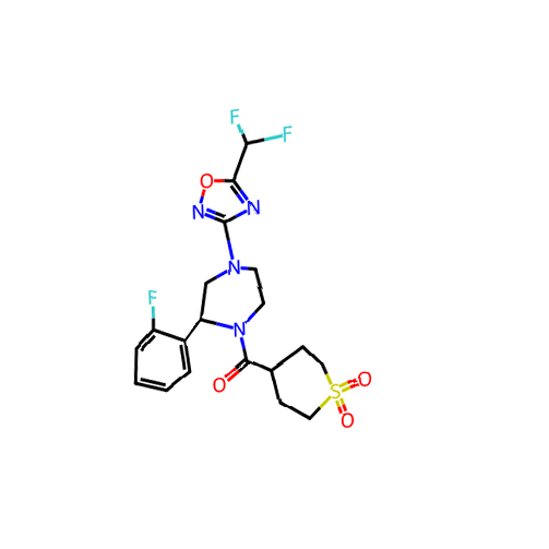 O=C(C1CCS(=O)(=O)CC1)N1CCN(c2noc(C(F)F)n2)CC1c1ccccc1F